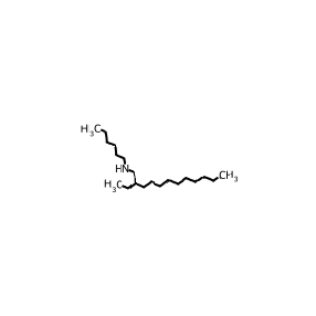 CCCCCCCCCCC(CC)CNCCCCCC